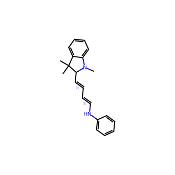 CN1c2ccccc2C(C)(C)C1/C=C/C=C/Nc1ccccc1